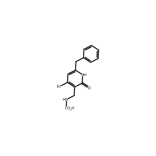 CCc1cc(Cc2ccccc2)[nH]c(=O)c1CNC(=O)O